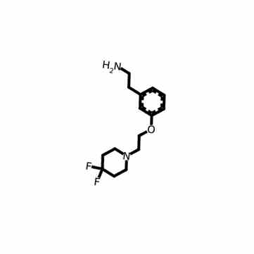 NCCc1cccc(OCCN2CCC(F)(F)CC2)c1